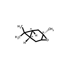 CC1(C)[C@@H]2C[C@@]3(C)OC3C[C@@H]21